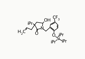 C=CCC1(C(C)C)CC(O)N(Cc2cc(C(F)(F)F)ccc2O[Si](C(C)C)(C(C)C)C(C)C)C1=O